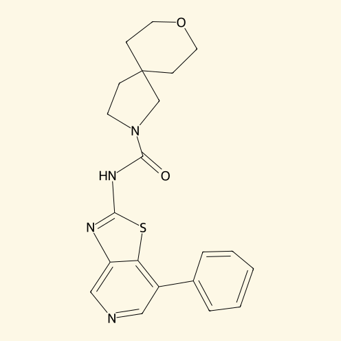 O=C(Nc1nc2cncc(-c3ccccc3)c2s1)N1CCC2(CCOCC2)C1